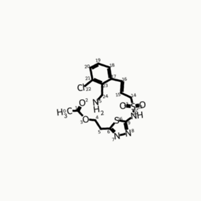 CC(=O)OCCc1nnc(NS(=O)(=O)CC=Cc2cccc(Cl)c2CN)s1